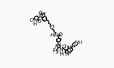 Cn1c(=O)n(C2CCC(=O)NC2=O)c2ccc(CCCCOCCCCNC(=O)c3ccc(-n4cc(NC(=O)c5cnn6ccc(N7CCNCC7)nc56)c(C(F)F)n4)cc3)cc21